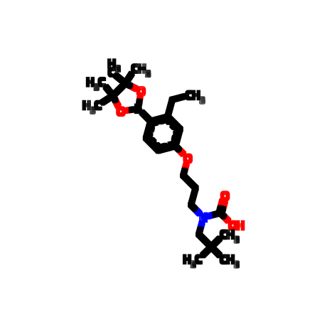 CCc1cc(OCCCN(CC(C)(C)C)C(=O)O)ccc1B1OC(C)(C)C(C)(C)O1